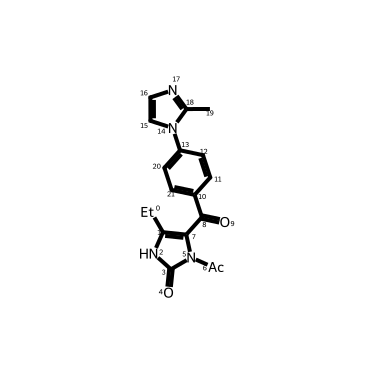 CCc1[nH]c(=O)n(C(C)=O)c1C(=O)c1ccc(-n2ccnc2C)cc1